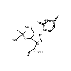 C=C[C@@H](O)[C@H]1O[C@@H](n2ccc(=O)[nH]c2=O)C(OC)C1O[Si](C)(C)C(C)(C)C